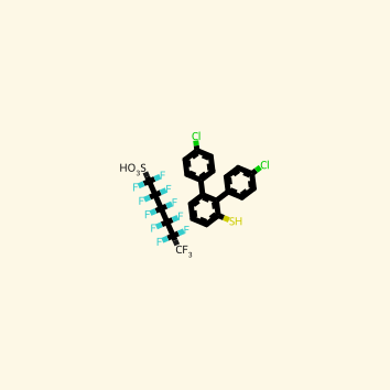 O=S(=O)(O)C(F)(F)C(F)(F)C(F)(F)C(F)(F)C(F)(F)C(F)(F)F.Sc1cccc(-c2ccc(Cl)cc2)c1-c1ccc(Cl)cc1